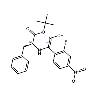 CC(C)(C)OC(=O)[C@H](Cc1ccccc1)N/C(=N/O)c1ccc([N+](=O)[O-])cc1F